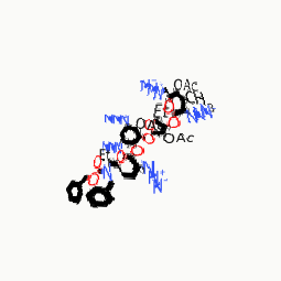 CC[C@H]1O[C@@H](O[C@@H]2[C@@H](OC(C)=O)[C@H](N=[N+]=[N-])C[C@H](N=[N+]=[N-])[C@H]2O[C@H]2O[C@H]([C@H](CC)N(Cc3ccccc3)C(=O)OCc3ccccc3)CC[C@H]2N=[N+]=[N-])[C@H](OC(C)=O)[C@@H]1O[C@H]1O[C@@H](CN=[N+]=[N-])[C@@H](OC(C)=O)[C@H](C)[C@H]1N=[N+]=[N-]